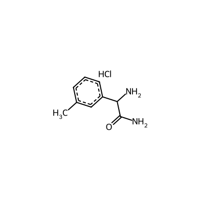 Cc1cccc(C(N)C(N)=O)c1.Cl